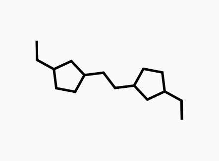 CCC1CCC(CCC2CCC(CC)C2)C1